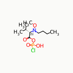 CCCCN(OC)[C@H](C(=O)OP(=O)(O)Cl)C(C)C